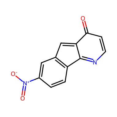 O=C1C=CN=C2C1=Cc1cc([N+](=O)[O-])ccc12